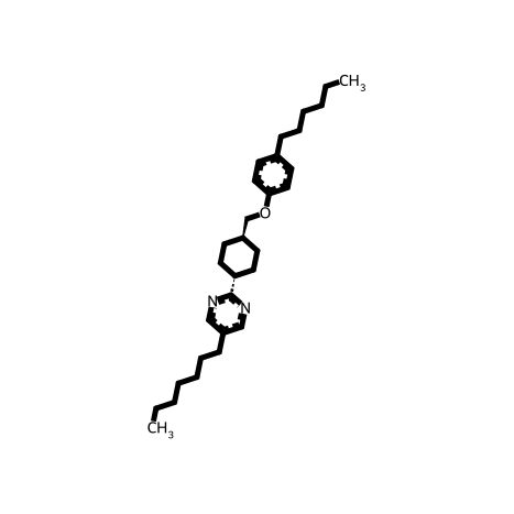 CCCCCCCc1cnc([C@H]2CC[C@H](COc3ccc(CCCCCC)cc3)CC2)nc1